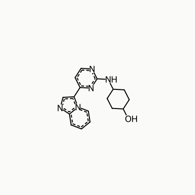 OC1CCC(Nc2nccc(-c3cnc4ccccn34)n2)CC1